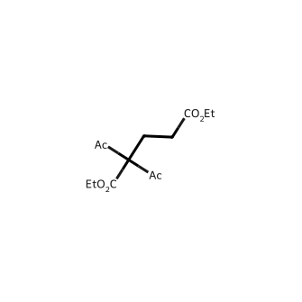 CCOC(=O)CCC(C(C)=O)(C(C)=O)C(=O)OCC